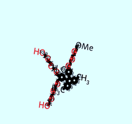 COCCOCCOCCOc1ccc(-c2c(-c3ccc(COCCOCCOCCO)c(COCCOCCOCCO)c3)c3cc(C)ccc3c3ccc(C)cc23)cc1C